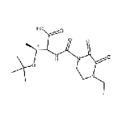 CCN1CCN(C(=O)NC(C(=O)O)[C@H](C)OC(C)(C)C)C(=O)C1=O